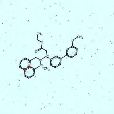 CCOC(=O)C[C@@H](c1cccc(-c2cccc(OC)c2)c1)N(Cc1ccccc1)[C@H](C)c1ccccc1